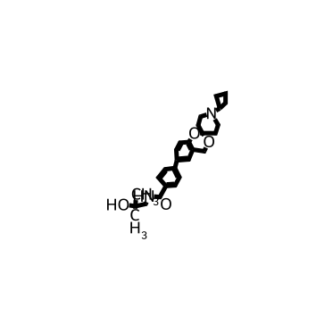 CC(C)(O)CNC(=O)c1ccc(-c2ccc3c(c2)COC2(CCN(C4CCC4)CC2)O3)cc1